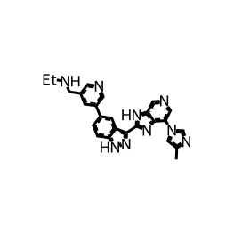 CCNCc1cncc(-c2ccc3[nH]nc(-c4nc5c(-n6cnc(C)c6)cncc5[nH]4)c3c2)c1